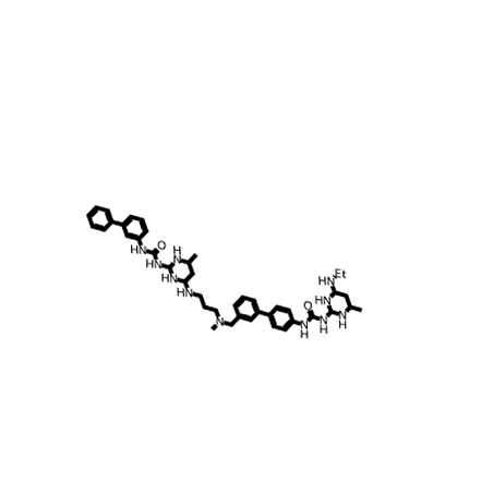 CCNC1CC(C)NC(NC(=O)Nc2ccc(-c3cccc(CN(C)CCCNC4CC(C)NC(NC(=O)Nc5cccc(-c6ccccc6)c5)N4)c3)cc2)N1